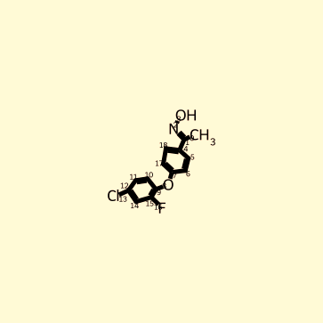 CC(=NO)c1ccc(Oc2ccc(Cl)cc2F)cc1